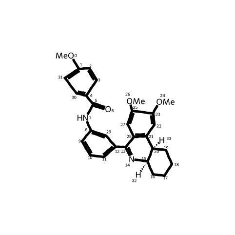 COc1ccc(C(=O)Nc2cccc(C3=N[C@@H]4CCCC[C@@H]4c4cc(OC)c(OC)cc43)c2)cc1